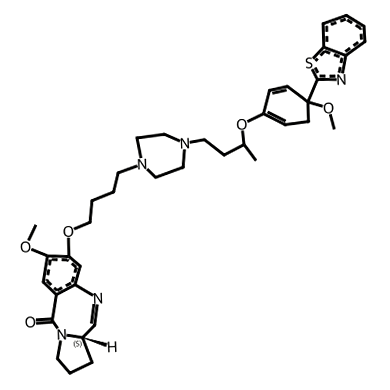 COc1cc2c(cc1OCCCCN1CCN(CCC(C)OC3=CCC(OC)(c4nc5ccccc5s4)C=C3)CC1)N=C[C@@H]1CCCN1C2=O